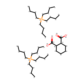 CCCC[P+](CCCC)(CCCC)CCCC.CCCC[P+](CCCC)(CCCC)CCCC.O=C([O-])C1CCCCC1C(=O)[O-]